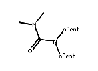 CCCCCN(CCCCC)C(=O)N(C)C